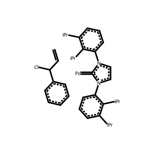 C=CC(Cl)c1ccccc1.CC(C)c1cccc(-n2ccn(-c3cccc(C(C)C)c3C(C)C)[c]2=[Pd])c1C(C)C